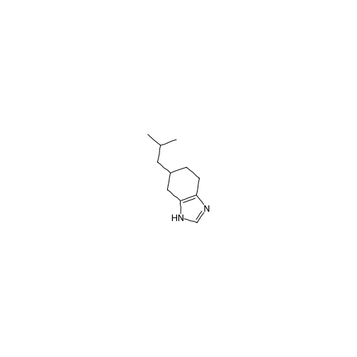 CC(C)CC1CCc2nc[nH]c2C1